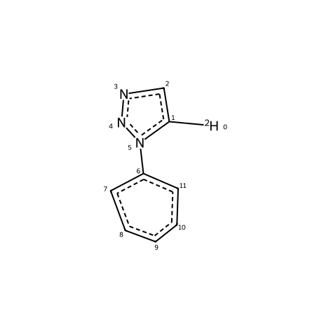 [2H]c1cnnn1-c1ccccc1